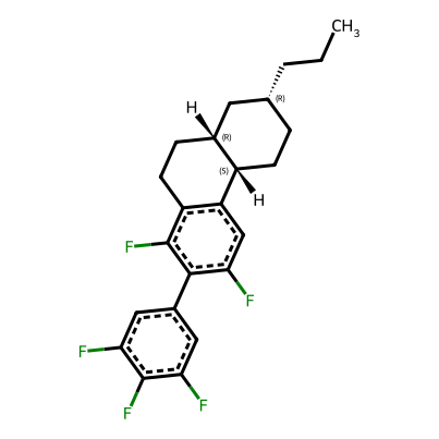 CCC[C@@H]1CC[C@@H]2c3cc(F)c(-c4cc(F)c(F)c(F)c4)c(F)c3CC[C@@H]2C1